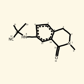 CN1CCc2ccc(NC(C)(C)C#N)cc2C1=O